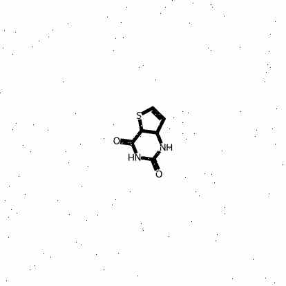 O=C1NC(=O)C2SC=CC2N1